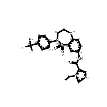 CCn1cncc1C(=O)Nc1ccc2c(c1)S(=O)(=O)N(c1ccc(C(F)(F)F)cc1)CCO2